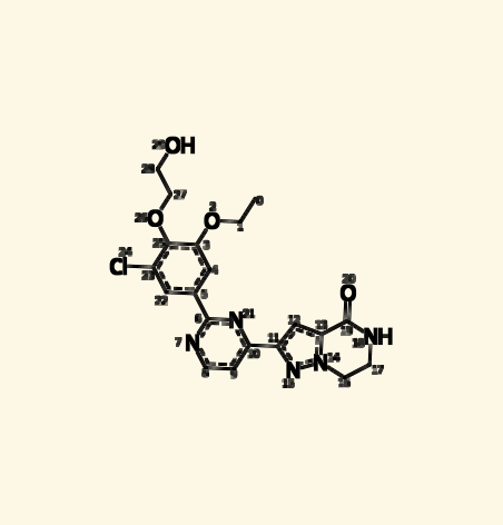 CCOc1cc(-c2nccc(-c3cc4n(n3)CCNC4=O)n2)cc(Cl)c1OCCO